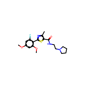 COc1cc(F)c(-c2nc(C)c(C(=O)NCCN3CCCC3)s2)c(OC)c1